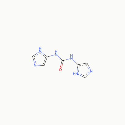 O=C(Nc1cnc[nH]1)Nc1cnc[nH]1